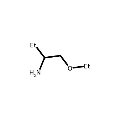 CCOCC(N)CC